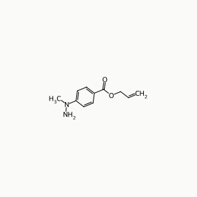 C=CCOC(=O)c1ccc(N(C)N)cc1